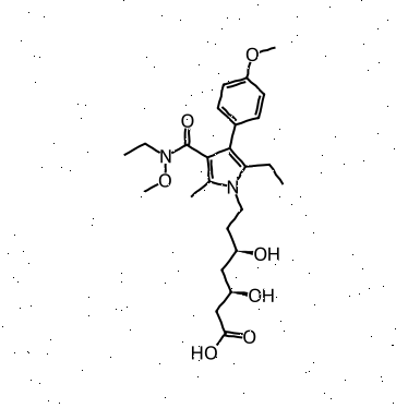 CCc1c(-c2ccc(OC)cc2)c(C(=O)N(CC)OC)c(C)n1CC[C@@H](O)C[C@@H](O)CC(=O)O